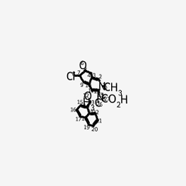 CN1C=C2CC(=O)C(Cl)C=C2C(OCc2cccc3ccccc23)=C1N(C)C(=O)O